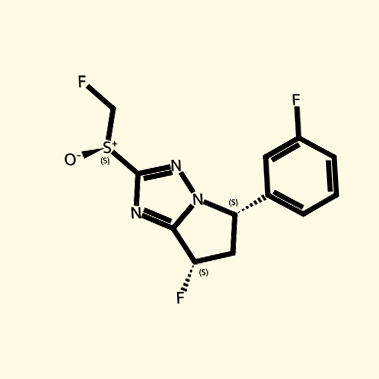 [O-][S@@+](CF)c1nc2n(n1)[C@H](c1cccc(F)c1)C[C@@H]2F